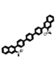 C[S+]([O-])c1cc2ccccc2cc1-c1ccc(-c2ccc(-c3ccc(-c4cc5ccccc5cc4[S+](C)[O-])cc3)cc2)cc1